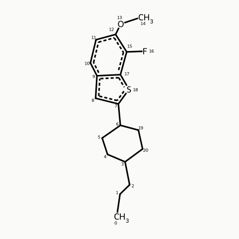 CCCC1CCC(c2cc3ccc(OC)c(F)c3s2)CC1